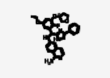 CCOc1cc(O[C@H]2CCOC2)c(F)c(C(Nc2ccc3c(N)nccc3c2)c2nc(-c3ccccc3)c[nH]2)c1